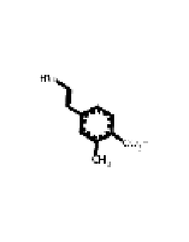 Cc1cc(C=CC(C)(C)C)ccc1C(=O)O